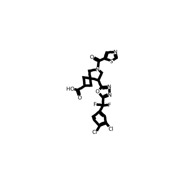 O=C(O)C1CC2(C1)CN(C(=O)c1cncs1)CC2c1nnc(C(F)(F)c2ccc(Cl)c(Cl)c2)o1